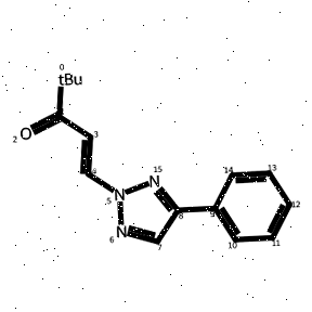 CC(C)(C)C(=O)C=Cn1ncc(-c2ccccc2)n1